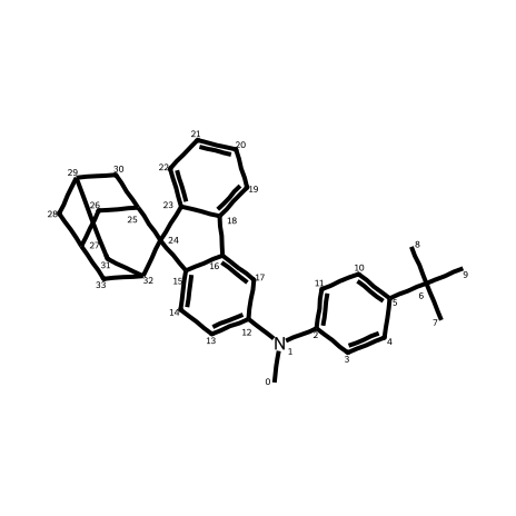 CN(c1ccc(C(C)(C)C)cc1)c1ccc2c(c1)-c1ccccc1C21C2CC3CC(C2)CC1C3